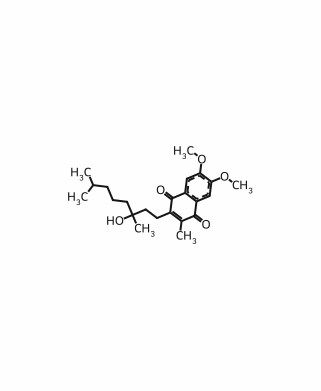 COc1cc2c(cc1OC)C(=O)C(CCC(C)(O)CCCC(C)C)=C(C)C2=O